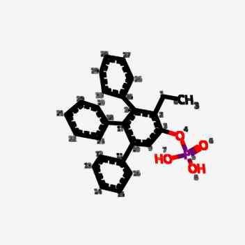 CCc1c(OP(=O)(O)O)cc(-c2ccccc2)c(-c2ccccc2)c1-c1ccccc1